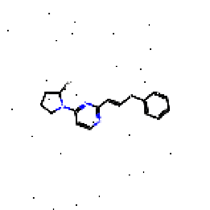 CC(=O)C1CCCN1c1ccnc(C=CCc2ccccc2)n1